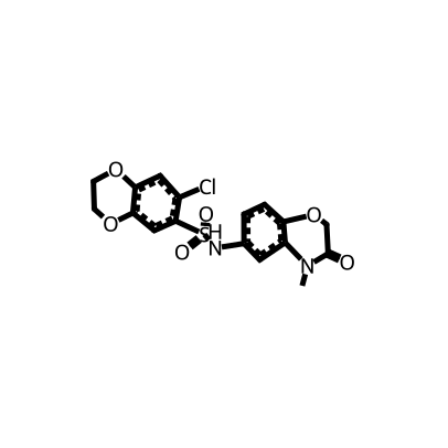 CN1C(=O)COc2ccc(NS(=O)(=O)c3cc4c(cc3Cl)OCCO4)cc21